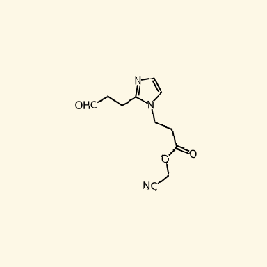 N#CCOC(=O)CCn1ccnc1CCC=O